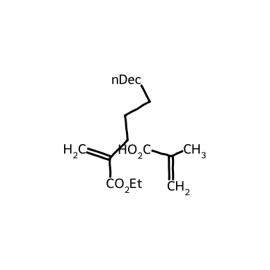 C=C(C)C(=O)O.C=C(CCCCCCCCCCCCC)C(=O)OCC